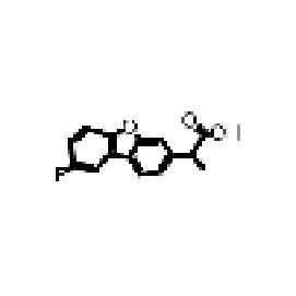 CC(C(=O)O)c1ccc2c(c1)oc1ccc(F)cc12